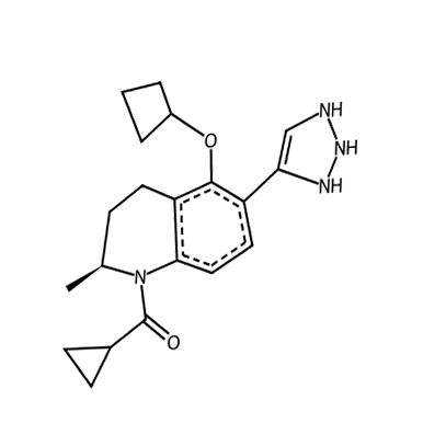 C[C@H]1CCc2c(ccc(C3=CNNN3)c2OC2CCC2)N1C(=O)C1CC1